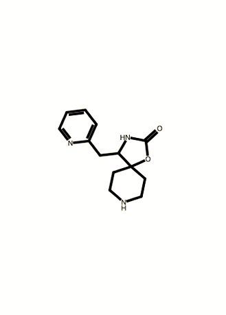 O=C1NC(Cc2ccccn2)C2(CCNCC2)O1